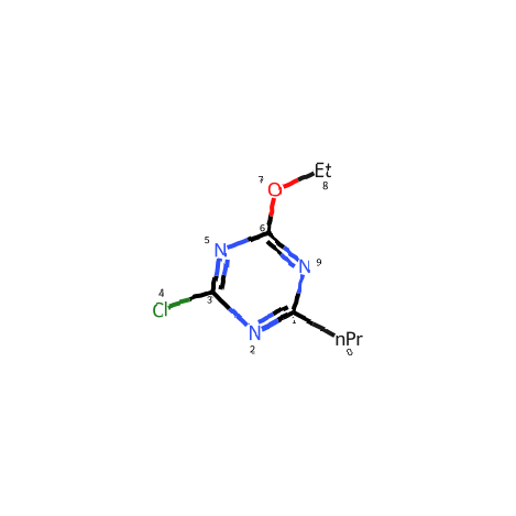 CCCc1nc(Cl)nc(OCC)n1